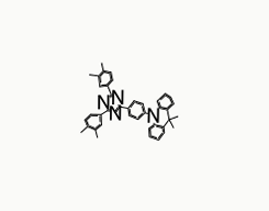 Cc1ccc(-c2nc(-c3ccc(N4c5ccccc5C(C)(C)c5ccccc54)cc3)nc(-c3ccc(C)c(C)c3)n2)cc1C